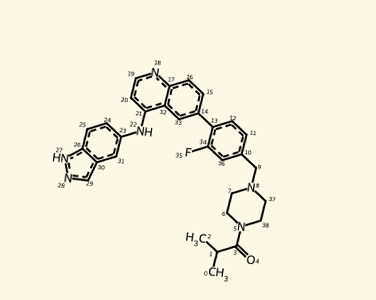 CC(C)C(=O)N1CCN(Cc2ccc(-c3ccc4nccc(Nc5ccc6[nH]ncc6c5)c4c3)c(F)c2)CC1